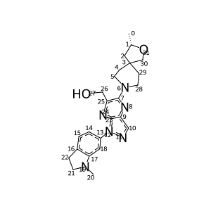 C[C@H]1CC2(CCN(c3nc4cnn(-c5ccc6c(c5)N(C)CC6)c4nc3CO)CC2)CO1